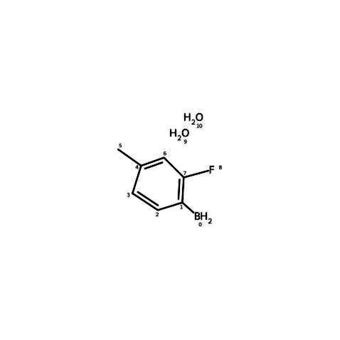 Bc1ccc(C)cc1F.O.O